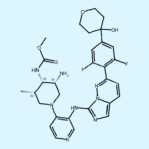 COC(=O)N[C@@H]1[C@H](N)CN(c2ccncc2Nc2ncc3ccc(-c4c(F)cc(C5(O)CCOCC5)cc4F)nn23)C[C@@H]1C